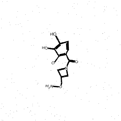 NOC1CN(C(=O)c2ccc(O)c(O)c2Cl)C1